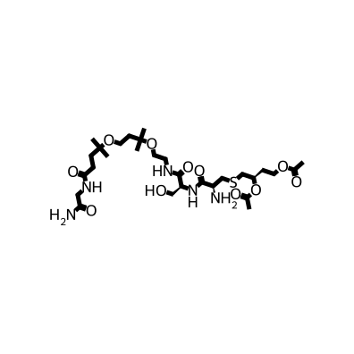 CC(=O)OCC[C@H](CSC[C@H](N)C(=O)N[C@@H](CO)C(=O)NCCOC(C)(C)CCOC(C)(C)CCC(=O)NCC(N)=O)OC(C)=O